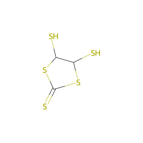 S=C1SC(S)C(S)S1